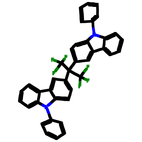 FC(F)(F)C(c1ccc2c(c1)c1ccccc1n2-c1ccccc1)(c1ccc2c(c1)c1ccccc1n2-c1ccccc1)C(F)(F)F